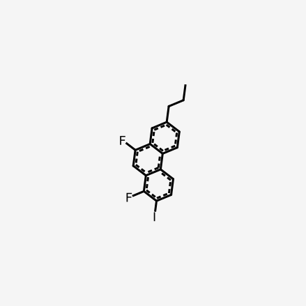 CCCc1ccc2c(c1)c(F)cc1c(F)c(I)ccc12